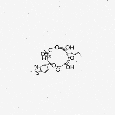 CC=CC[C@H]1C(=O)C(C)(C)[C@@H](O)CC(=O)O[C@H](c2ccc3sc(C)nc3c2)C[C@@H]2O[C@]2(C)CCO[C@H](C)[C@H]1O